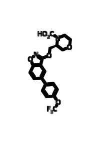 O=C(O)N1CCOC[C@H]1COc1noc2ccc(-c3ccc(OC(F)(F)F)cc3)cc12